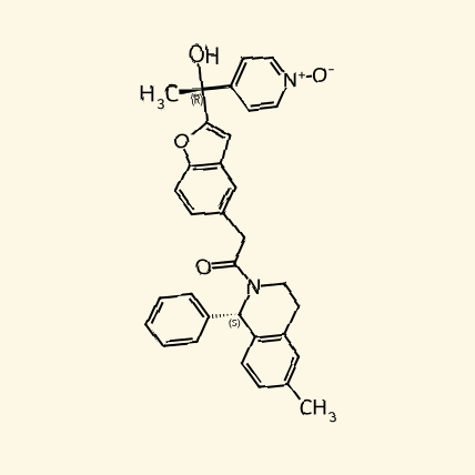 Cc1ccc2c(c1)CCN(C(=O)Cc1ccc3oc([C@](C)(O)c4cc[n+]([O-])cc4)cc3c1)[C@H]2c1ccccc1